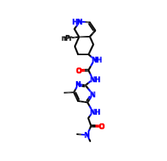 CCCC12CCC(NC(=O)Nc3nc(C)cc(NCC(=O)N(C)C)n3)CC1C=CNC2